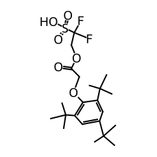 CC(C)(C)c1cc(C(C)(C)C)c(OCC(=O)OCC(F)(F)S(=O)(=O)O)c(C(C)(C)C)c1